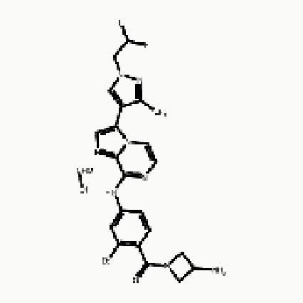 CCc1cc(Nc2nccn3c(-c4cn(CC(F)F)nc4C(F)(F)F)cnc23)ccc1C(=O)N1CC(N)C1.O=CO